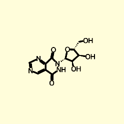 O=c1[nH]n([C@@H]2O[C@H](CO)[C@@H](O)[C@H]2O)c(=O)c2ncncc12